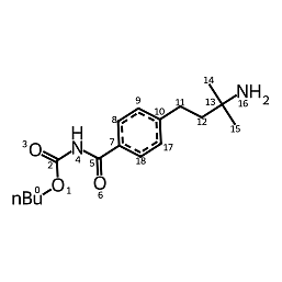 CCCCOC(=O)NC(=O)c1ccc(CCC(C)(C)N)cc1